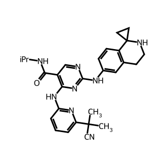 CC(C)NC(=O)c1cnc(Nc2ccc3c(c2)CCNC32CC2)nc1Nc1cccc(C(C)(C)C#N)n1